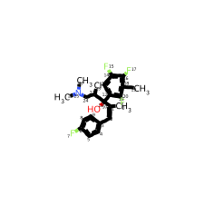 CC(=Cc1ccc(F)cc1)C(O)(c1cc(F)c(F)c(C)c1F)C(C)CN(C)C